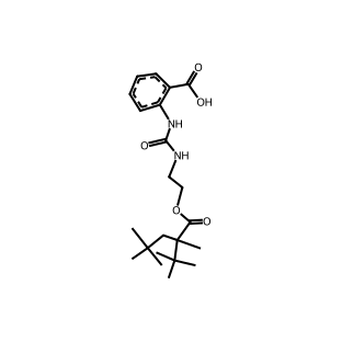 CC(C)(C)CC(C)(C(=O)OCCNC(=O)Nc1ccccc1C(=O)O)C(C)(C)C